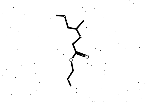 CCCOC(=O)CCC(C)CCC